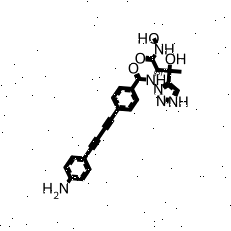 CC(O)(c1c[nH]nn1)[C@H](NC(=O)c1ccc(C#CC#Cc2ccc(N)cc2)cc1)C(=O)NO